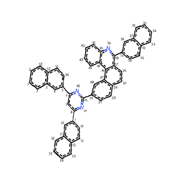 c1ccc2cc(-c3cc(-c4ccc5ccccc5c4)nc(-c4ccc5ccc6c(-c7ccc8ccccc8c7)nc7ccccc7c6c5c4)n3)ccc2c1